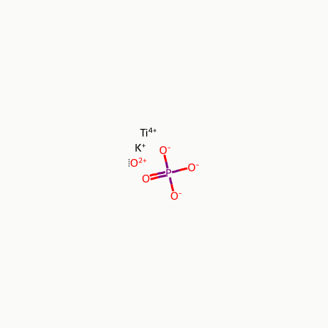 O=P([O-])([O-])[O-].[K+].[O+2].[Ti+4]